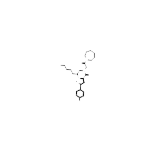 CCCCCC1CN(CC(=O)N2CCCCCC2)C(=O)c2cc(-c3ccc(Cl)cc3)nn21